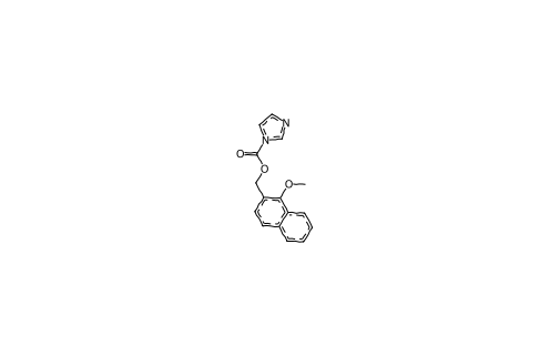 COc1c(COC(=O)n2ccnc2)ccc2ccccc12